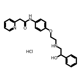 Cl.O=C(Cc1ccccn1)Nc1ccc(OCCNCC(O)c2ccccc2)cc1